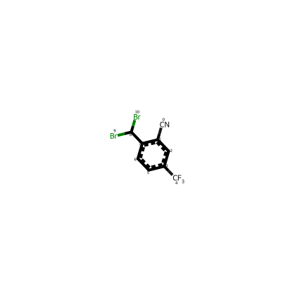 N#Cc1cc(C(F)(F)F)ccc1C(Br)Br